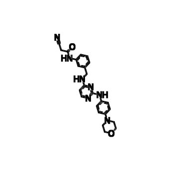 N#CCC(=O)Nc1cccc(CNc2ccnc(Nc3ccc(N4CCOCC4)cc3)n2)c1